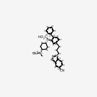 CN([C@H]1CC[C@H](N(C(=O)O)c2cc(CCCn3nnc4cc(C#N)ccc43)ccc2-c2ccccc2)CC1)C(C)(C)C